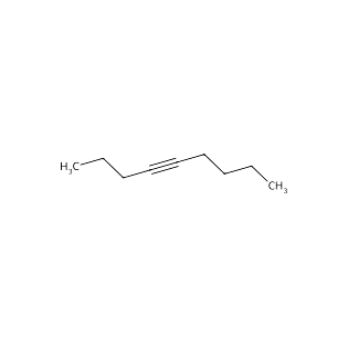 CCCC#CCCCC